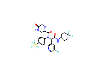 O=C1CNC(C(=O)N(c2ccc(S(F)(F)(F)(F)F)cc2)C(C(=O)NC2CCC(F)(F)CC2)c2cncc(F)c2)CN1